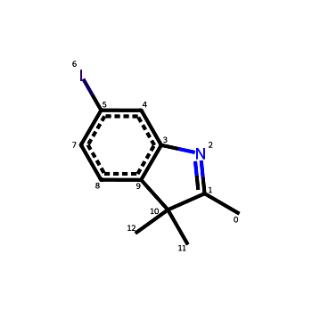 CC1=Nc2cc(I)ccc2C1(C)C